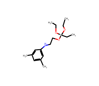 CCO[Si](CC)(OCC)OCCNc1cc(C)cc(C)c1